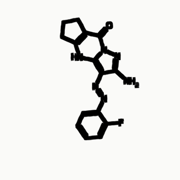 Nc1nn2c(=O)c3c([nH]c2c1N=Nc1ccccc1F)CCC3